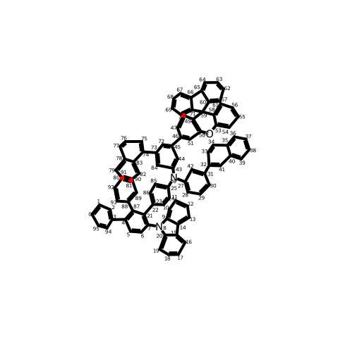 c1ccc(-c2ccc(-n3c4ccccc4c4ccccc43)c(-c3ccc(N(c4cccc(-c5ccc6ccccc6c5)c4)c4cc(-c5ccc6c(c5)Oc5ccccc5C65c6ccccc6-c6ccccc65)cc(-c5cccc6ccccc56)c4)cc3)c2-c2ccccc2)cc1